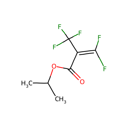 CC(C)OC(=O)C(=C(F)F)C(F)(F)F